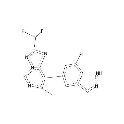 Cc1ncn2nc(C(F)F)nc2c1-c1cc(Cl)c2[nH]ncc2c1